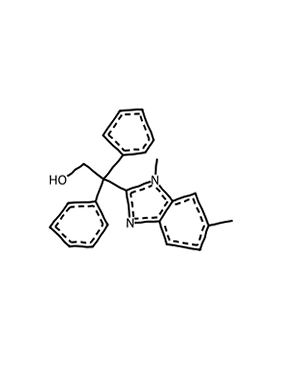 Cc1ccc2nc(C(CO)(c3ccccc3)c3ccccc3)n(C)c2c1